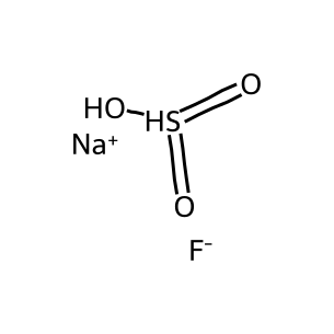 O=[SH](=O)O.[F-].[Na+]